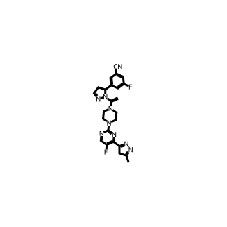 C=C(N1CCN(c2ncc(F)c(C3=NN=C(C)C3)n2)CC1)N1N=CCC1c1cc(F)cc(C#N)c1